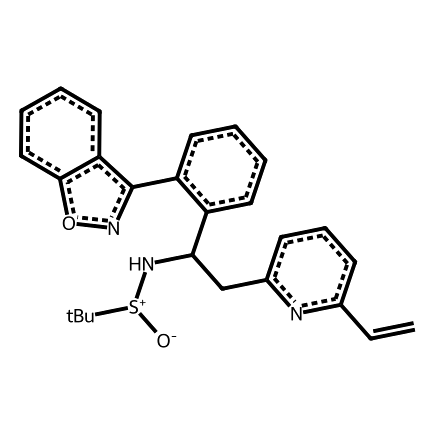 C=Cc1cccc(CC(N[S+]([O-])C(C)(C)C)c2ccccc2-c2noc3ccccc23)n1